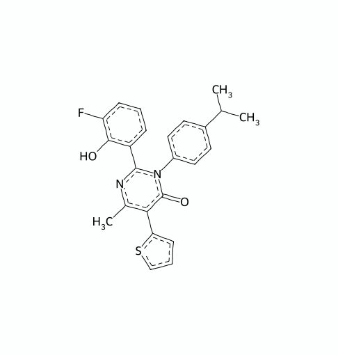 Cc1nc(-c2cccc(F)c2O)n(-c2ccc(C(C)C)cc2)c(=O)c1-c1cccs1